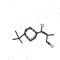 CC(C=O)=C(Cl)c1ccc(C(C)(C)C)cc1